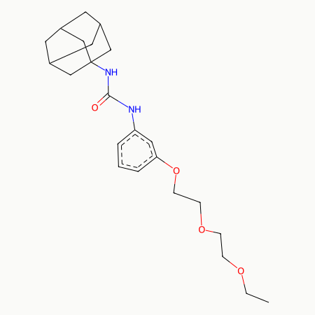 CCOCCOCCOc1cccc(NC(=O)NC23CC4CC(CC(C4)C2)C3)c1